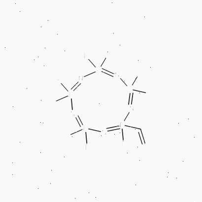 O=CP1(F)=NP(F)(F)=NP(F)(F)=NP(F)(F)=NP(F)(F)=N1